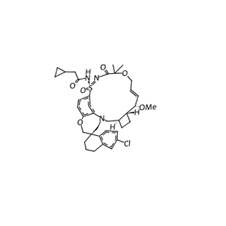 CO[C@H]1/C=C/COC(C)(C)C(=O)N=[S@](=O)(NC(=O)CC2CC2)c2ccc3c(c2)N(C[C@@H]2CC[C@H]21)C[C@@]1(CCCc2cc(Cl)ccc21)CO3